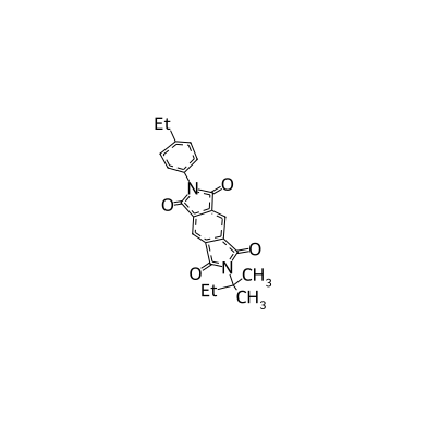 CCc1ccc(-n2c(=O)c3cc4c(=O)n(C(C)(C)CC)c(=O)c4cc3c2=O)cc1